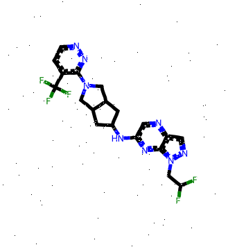 FC(F)Cn1ncc2ncc(NC3CC4CN(c5nnccc5C(F)(F)F)CC4C3)nc21